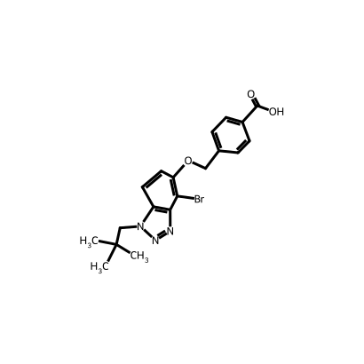 CC(C)(C)Cn1nnc2c(Br)c(OCc3ccc(C(=O)O)cc3)ccc21